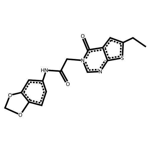 CCc1cc2c(=O)n(CC(=O)Nc3ccc4c(c3)OCO4)cnc2s1